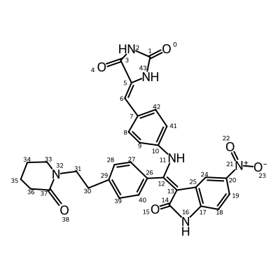 O=C1NC(=O)/C(=C/c2ccc(NC(=C3C(=O)Nc4ccc([N+](=O)[O-])cc43)c3ccc(CCN4CCCCC4=O)cc3)cc2)N1